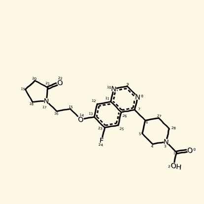 O=C(O)N1CCC(c2ncnc3cc(OCCN4CCCC4=O)c(F)cc23)CC1